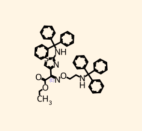 CCOC(=O)/C(=N/OCCNC(c1ccccc1)(c1ccccc1)c1ccccc1)c1csc(NC(c2ccccc2)(c2ccccc2)c2ccccc2)n1